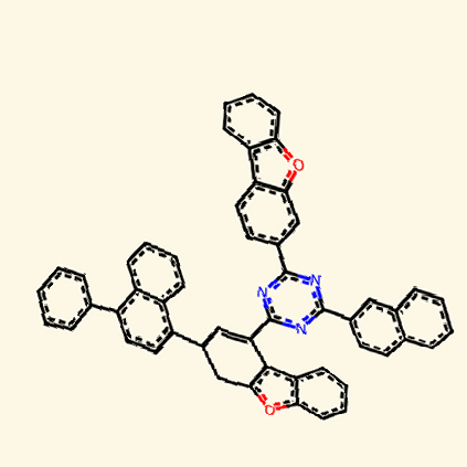 C1=C(c2nc(-c3ccc4ccccc4c3)nc(-c3ccc4c(c3)oc3ccccc34)n2)c2c(oc3ccccc23)CC1c1ccc(-c2ccccc2)c2ccccc12